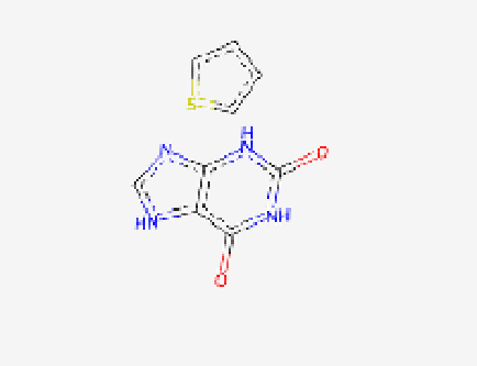 O=c1[nH]c(=O)c2[nH]cnc2[nH]1.c1ccsc1